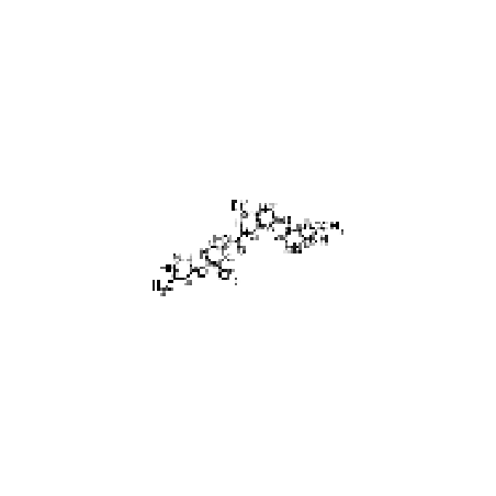 CC[C@@H]1CN(C(=O)Nc2cnc(O[C@@H]3CCN[C@H](C)C3)c(C(F)(F)F)c2)Cc2cc(Oc3ccnc4[nH]c(C)cc34)cnc21